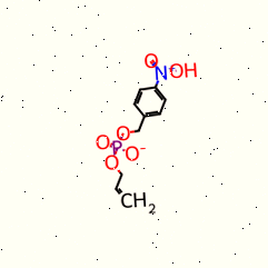 C=CCOP(=O)([O-])OCc1ccc([N+](=O)O)cc1